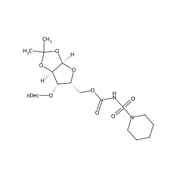 CCCCCCCCCCO[C@@H]1[C@H]2OC(C)(C)O[C@H]2O[C@@H]1COC(=O)NS(=O)(=O)N1CCCCC1